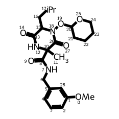 COc1cccc(CNC(=O)C2(C)NC(=O)C(CC(C)C)N(OC3CCCCO3)C2=O)c1